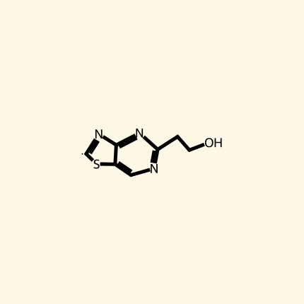 OCCc1ncc2s[c]nc2n1